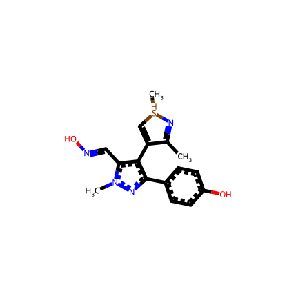 CC1=N[SH](C)C=C1c1c(-c2ccc(O)cc2)nn(C)c1C=NO